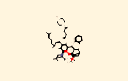 COC(=O)/C(C)=C\CC12OC(C)(C)C3CC(C1=O)C1Sc4ccccc4NC4=C1C32Oc1c(CC=C(C)C)c2c(c(OC(=O)CCC(=O)N3CCN(C)CC3)c14)C=CC(C)(CCC=C(C)C)O2